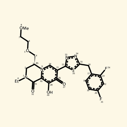 CCN1C[C@H](COCCOC)n2cc(-c3nnc(Cc4ccc(F)cc4F)s3)c(=O)c(O)c2C1=O